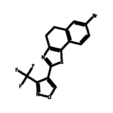 FC(F)(F)c1nocc1-c1nc2c(s1)-c1ccc(Br)cc1CC2